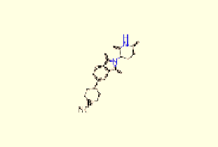 C=C1CCC(n2c(=C)c3ccc(C4=CCB(C#N)CC4)cc3c2=C)C(=C)N1